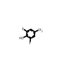 Oc1c(F)cc(C(F)(F)F)cc1F